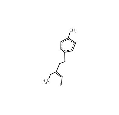 Cc1ccc(CCC(=CF)CN)cc1